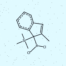 CC1=Cc2ccccc2C1(B(Cl)Cl)[Si](C)(C)C